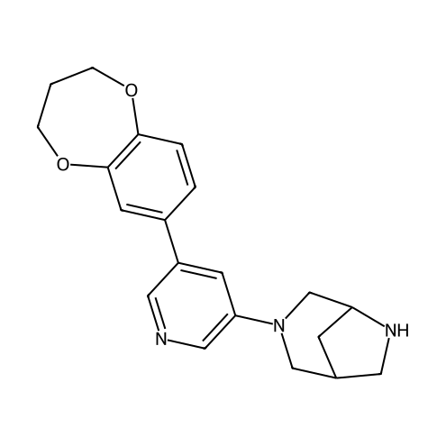 c1cc2c(cc1-c1cncc(N3CC4CNC(C4)C3)c1)OCCCO2